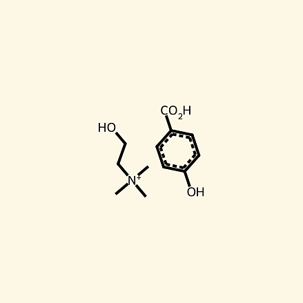 C[N+](C)(C)CCO.O=C(O)c1ccc(O)cc1